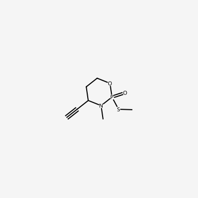 C#CC1CCOP(=O)(SC)N1C